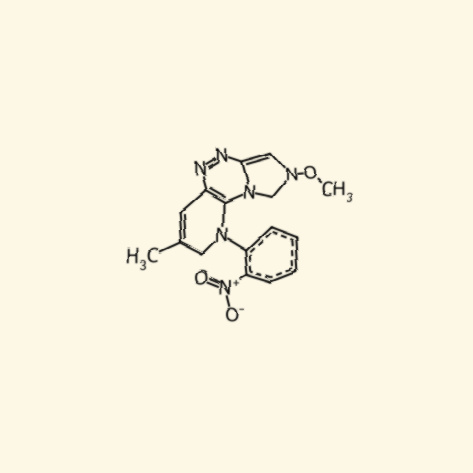 CON1C=C2N=NC3=C(N2C1)N(c1ccccc1[N+](=O)[O-])CC(C)=C3